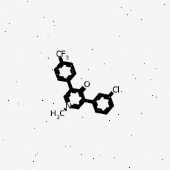 Cn1cc(-c2ccc(C(F)(F)F)cc2)c(=O)c(-c2cccc(Cl)c2)c1